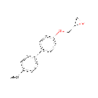 COc1ccc(-c2ccc(OCC3CO3)cc2)cc1